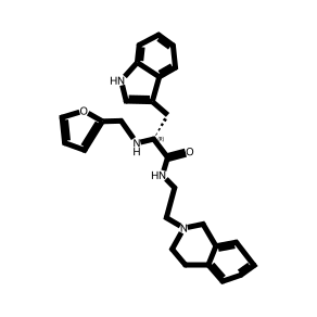 O=C(NCCN1CCc2ccccc2C1)[C@@H](Cc1c[nH]c2ccccc12)NCc1ccco1